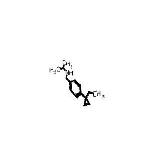 CCC1(c2ccc(CNC(C)C)cc2)CC1